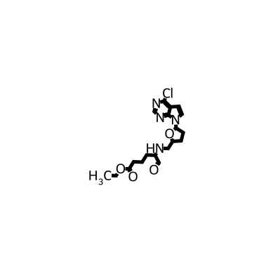 CCOC(=O)CCCC(C=O)NCC1CCC(n2ccc3c(Cl)ncnc32)O1